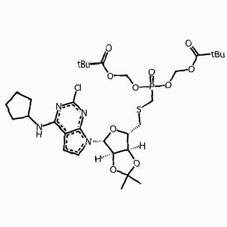 CC1(C)O[C@@H]2[C@H](O1)[C@@H](CSCP(=O)(OCOC(=O)C(C)(C)C)OCOC(=O)C(C)(C)C)O[C@H]2n1ccc2c(NC3CCCC3)nc(Cl)nc21